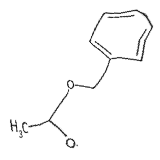 CC([O])OCc1ccccc1